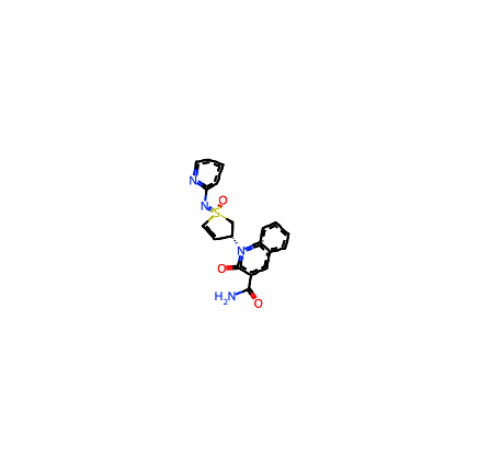 NC(=O)c1cc2ccccc2n([C@@H]2C=C[S@@](=O)(=Nc3ccccn3)C2)c1=O